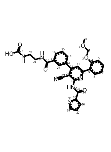 COCOc1ccccc1-c1cc(-c2cccc(C(=O)NCCNC(=O)O)c2)c(C#N)c(NC(=O)c2cccs2)n1